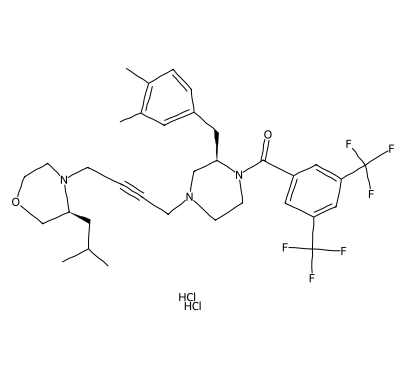 Cc1ccc(C[C@@H]2CN(CC#CCN3CCOC[C@@H]3CC(C)C)CCN2C(=O)c2cc(C(F)(F)F)cc(C(F)(F)F)c2)cc1C.Cl.Cl